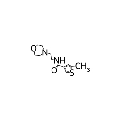 Cc1cc(C(=O)NCCN2CCOCC2)cs1